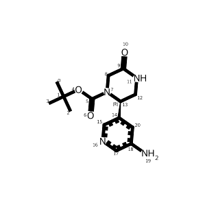 CC(C)(C)OC(=O)N1CC(=O)NC[C@H]1c1cncc(N)c1